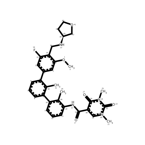 COc1cc(-c2cccc(-c3cccc(NC(=O)c4cn(C)c(=O)n(C)c4=O)c3C)c2C)cc(F)c1CN[C@H]1CCOC1